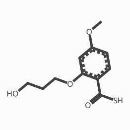 COc1ccc(C(=O)S)c(OCCCO)c1